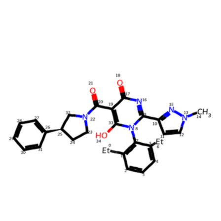 CCc1cccc(CC)c1-n1c(-c2ccn(C)n2)nc(=O)c(C(=O)N2CC[C@@H](c3ccccc3)C2)c1O